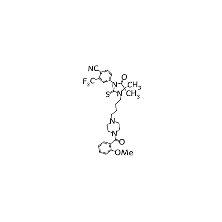 COc1ccccc1C(=O)N1CCN(CCCCN2C(=S)N(c3ccc(C#N)c(C(F)(F)F)c3)C(=O)C2(C)C)CC1